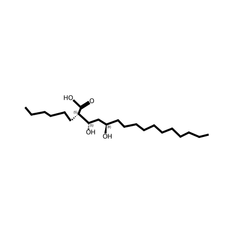 CCCCCCCCCCC[C@@H](O)C[C@H](O)[C@H](CCCCCC)C(=O)O